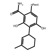 CCCCCc1cc(O)c(C2C=C(C)CCC2)c(O)c1C(N)=O